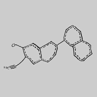 C#Cc1cc2ccc(-c3cccc4ccccc34)cc2cc1Cl